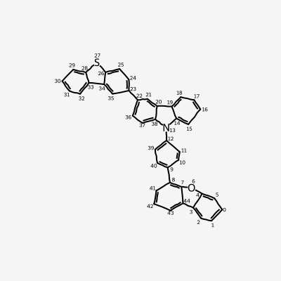 c1ccc2c(c1)oc1c(-c3ccc(-n4c5ccccc5c5cc(-c6ccc7sc8ccccc8c7c6)ccc54)cc3)cccc12